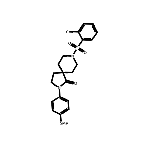 CSc1ccc(N2CCC3(CCN(S(=O)(=O)c4ccccc4Cl)CC3)C2=O)cc1